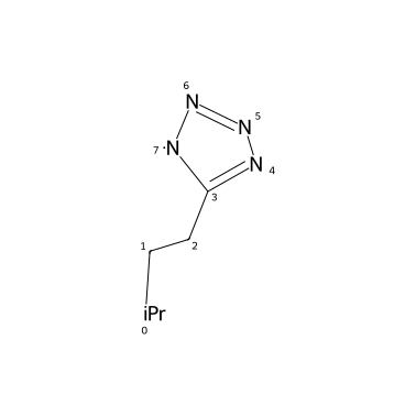 CC(C)CCC1=NN=N[N]1